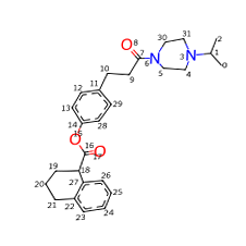 CC(C)N1CCN(C(=O)CCc2ccc(OC(=O)C3CCCc4ccccc43)cc2)CC1